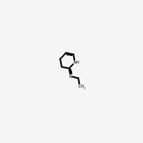 CC/N=C1/CCC=CN1